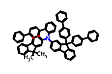 CC1(C)c2ccccc2-c2ccc(N(c3ccc4c(c3)C(c3ccc(-c5ccccc5)cc3)(c3ccc(-c5ccccc5)cc3)c3ccccc3-4)c3ccccc3-c3ccc(-c4ccccc4)cc3)cc21